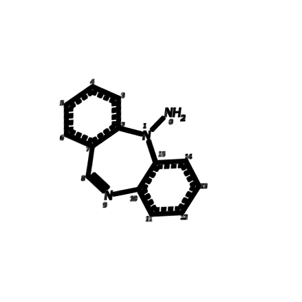 NN1c2ccccc2C=Nc2ccccc21